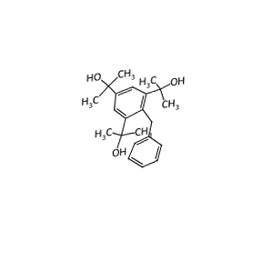 CC(C)(O)c1cc(C(C)(C)O)c(Cc2ccccc2)c(C(C)(C)O)c1